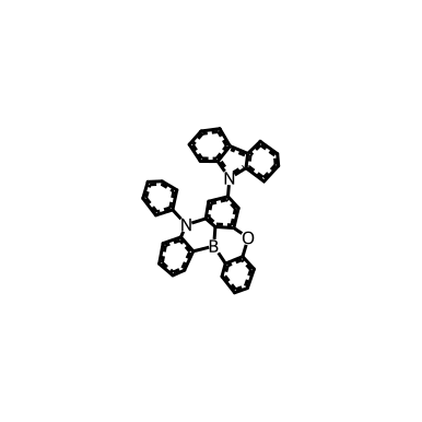 c1ccc(N2c3ccccc3B3c4ccccc4Oc4cc(-n5c6ccccc6c6ccccc65)cc2c43)cc1